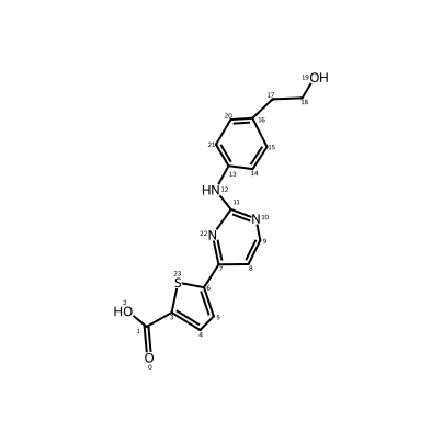 O=C(O)c1ccc(-c2ccnc(Nc3ccc(CCO)cc3)n2)s1